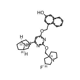 Oc1cc(COc2cc(N3C[C@H]4CC[C@@H](C3)N4)nc(OC[C@@]34CCCN3C[C@H](F)C4)n2)c2ccccc2c1